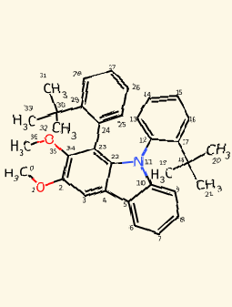 COc1cc2c3ccccc3n(-c3ccccc3C(C)(C)C)c2c(-c2ccccc2C(C)(C)C)c1OC